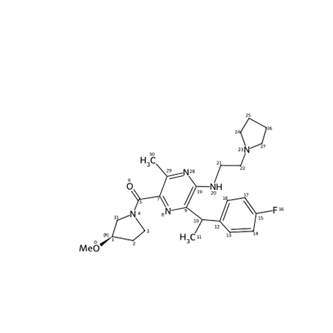 CO[C@@H]1CCN(C(=O)c2nc(C(C)c3ccc(F)cc3)c(NCCN3CCCC3)nc2C)C1